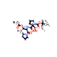 CC(=O)O[C@H](C)C(NC(=O)C1(CO)CCCN1C(=O)OC(C)(C)C)C(=O)N1CCCC1